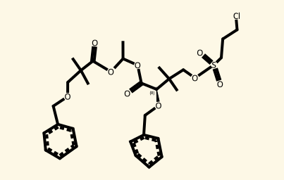 CC(OC(=O)[C@H](OCc1ccccc1)C(C)(C)COS(=O)(=O)CCCCl)OC(=O)C(C)(C)COCc1ccccc1